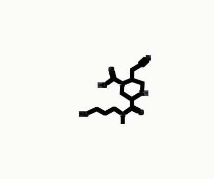 CN(CCCO)C(=O)C1CN(C(=O)O)C(CC#N)CN1